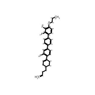 C=CCCC1CC=C(c2ccc(-c3ccc(-c4ccc(OCCC)c(F)c4F)cc3)cc2F)CC1